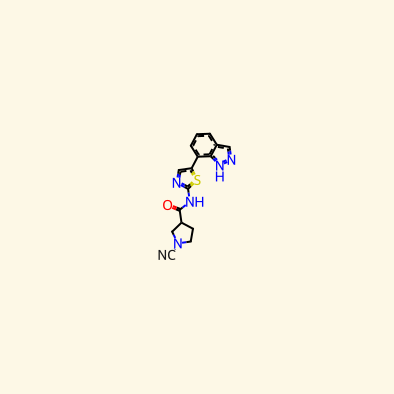 N#CN1CCC(C(=O)Nc2ncc(-c3cccc4cn[nH]c34)s2)C1